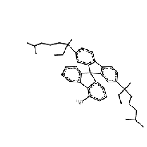 CCC(C)(CCCC(C)C)c1ccc2c(c1)C1(c3cc(C(C)(CC)CCCC(C)C)ccc3-2)c2ccccc2-c2c(N)cccc21